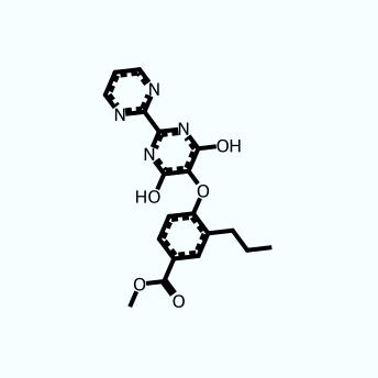 CCCc1cc(C(=O)OC)ccc1Oc1c(O)nc(-c2ncccn2)nc1O